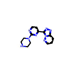 c1cnn2c(-c3ccnc(N4CCNCC4)n3)nnc2c1